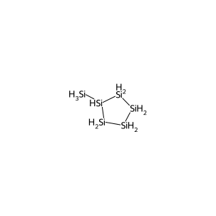 [SiH3][SiH]1[SiH2][SiH2][SiH2][SiH2]1